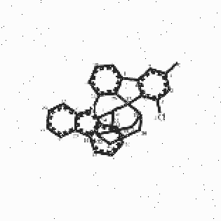 Cc1cc(Cl)c2c(c1)-c1cccc(-n3c4ccccc4c4ccccc43)c1C21C2CC3CC(C2)CC1C3